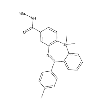 CCCCNC(=O)c1ccc2c(c1)N=C(c1ccc(F)cc1)c1ccccc1[Si]2(C)C